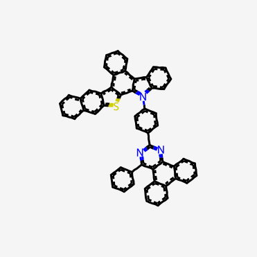 c1ccc(-c2nc(-c3ccc(-n4c5ccccc5c5c6ccccc6c6c7cc8ccccc8cc7sc6c54)cc3)nc3c4ccccc4c4ccccc4c23)cc1